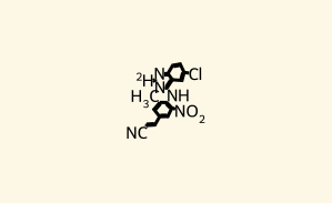 [2H]c1nc(Nc2c(C)cc(C=CC#N)cc2[N+](=O)[O-])c2cc(Cl)ccc2n1